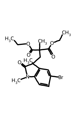 CCOC(=O)C(C)(CC1(C)C(=O)N(C)c2ccc(Br)cc21)C(=O)OCC